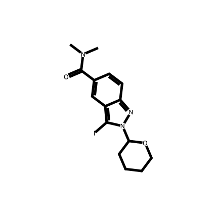 CN(C)C(=O)c1ccc2nn(C3CCCCO3)c(I)c2c1